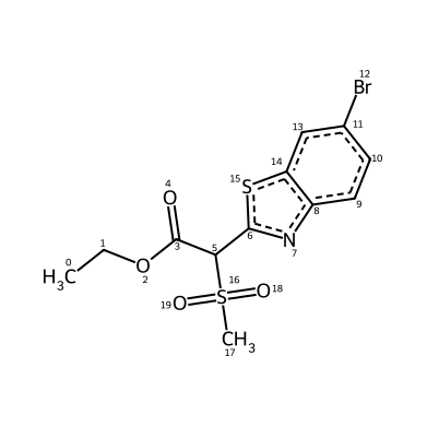 CCOC(=O)C(c1nc2ccc(Br)cc2s1)S(C)(=O)=O